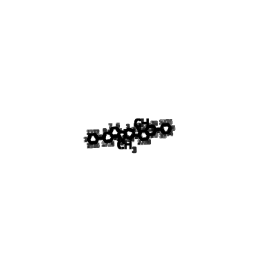 Cn1c2cc3c4ccc5cc(-c6ccccc6)ccc5c4n(C)c3cc2c2ccc3cc(-c4ccccc4)ccc3c21